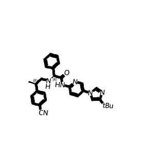 C[C@@H](CN[C@@H](C(=O)Nc1ccc(-n2cnc(C(C)(C)C)c2)cn1)c1ccccc1)c1ccc(C#N)cc1